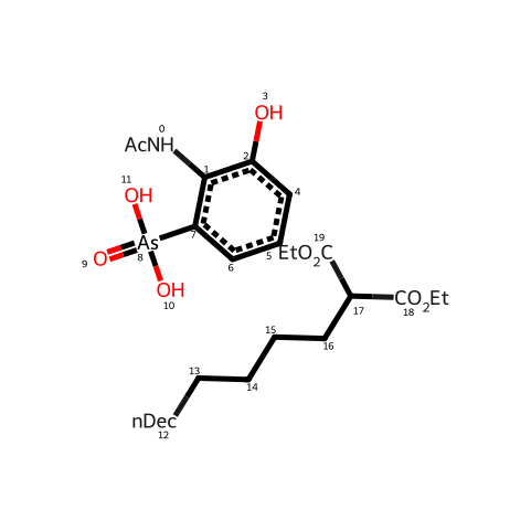 CC(=O)Nc1c(O)cccc1[As](=O)(O)O.CCCCCCCCCCCCCCC(C(=O)OCC)C(=O)OCC